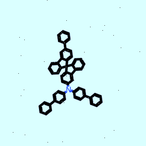 c1ccc(-c2ccc(N(c3ccc(-c4ccccc4)cc3)c3ccc4c(c3)-c3ccccc3C43c4ccccc4-c4cc(-c5ccccc5)ccc43)cc2)cc1